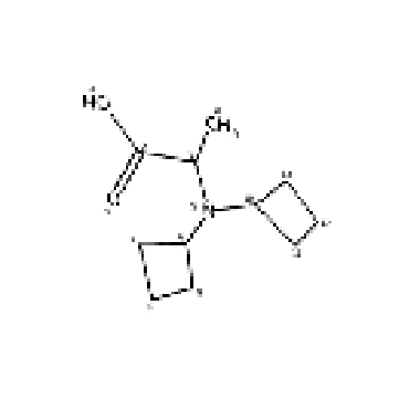 CC(C(=O)O)N(C1CCC1)C1CCC1